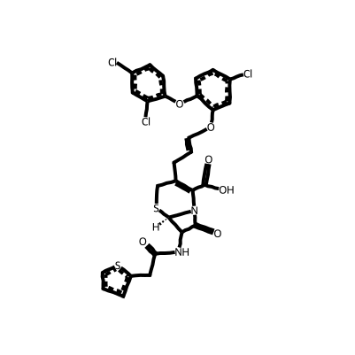 O=C(Cc1cccs1)NC1C(=O)N2C(C(=O)O)=C(C/C=C/Oc3cc(Cl)ccc3Oc3ccc(Cl)cc3Cl)CS[C@H]12